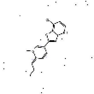 C\C=C(/C=C\C(=C/CC)SC)C1=CC2NC=CC(Cl)=C2O1